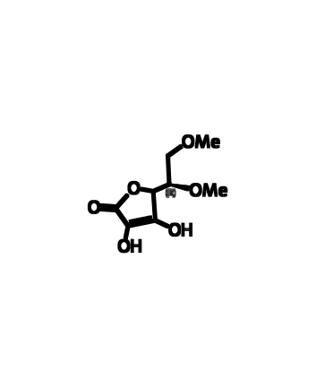 COC[C@@H](OC)C1OC(=O)C(O)=C1O